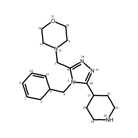 C1=CCC(Cn2c(CN3CCOCC3)nnc2C2CCNCC2)C=C1